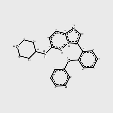 c1ccc(Oc2ccccc2-c2cnc3ccc(NC4CCOCC4)nn23)cc1